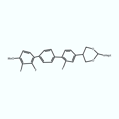 CCCCCCCC1OCC(c2ccc(-c3ccc(-c4ccc(OC)c(F)c4F)cc3)c(F)c2)CO1